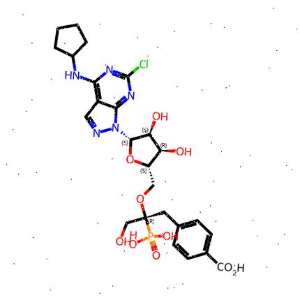 O=C(O)c1ccc(C[C@@](CO)(OC[C@@H]2O[C@H](n3ncc4c(NC5CCCC5)nc(Cl)nc43)[C@@H](O)[C@H]2O)P(=O)(O)O)cc1